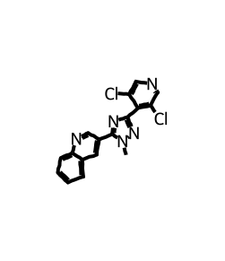 Cn1nc(-c2c(Cl)cncc2Cl)nc1-c1cnc2ccccc2c1